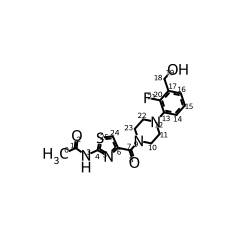 CC(=O)Nc1nc(C(=O)N2CCN(c3cccc(CO)c3F)CC2)cs1